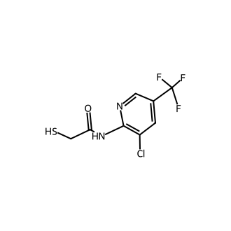 O=C(CS)Nc1ncc(C(F)(F)F)cc1Cl